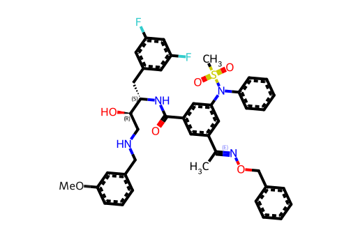 COc1cccc(CNC[C@@H](O)[C@H](Cc2cc(F)cc(F)c2)NC(=O)c2cc(/C(C)=N/OCc3ccccc3)cc(N(c3ccccc3)S(C)(=O)=O)c2)c1